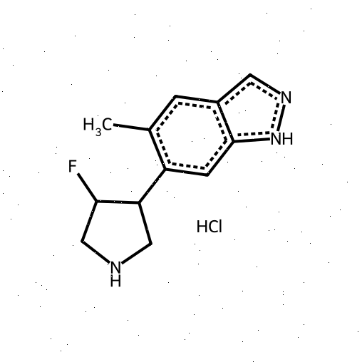 Cc1cc2cn[nH]c2cc1C1CNCC1F.Cl